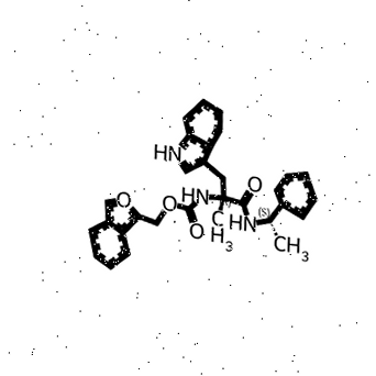 C[C@H](NC(=O)[C@@](C)(Cc1c[nH]c2ccccc12)NC(=O)OCc1occ2ccccc12)c1ccccc1